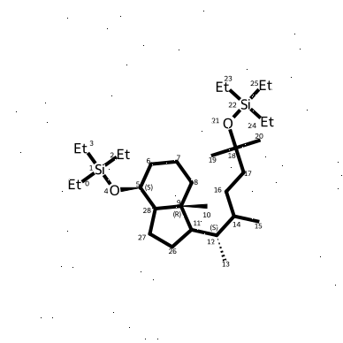 CC[Si](CC)(CC)O[C@H]1CCC[C@]2(C)C([C@@H](C)C(C)CCC(C)(C)O[Si](CC)(CC)CC)CCC12